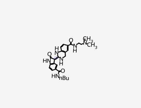 CCCCNC(=O)c1ccc2c(c1)/C(=C1\NCc3cc(C(=O)NCCN(C)C)ccc3N1)C(=O)N2